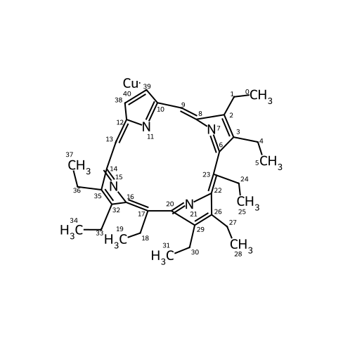 CCC1=C(CC)C2=NC1=CC1=NC(=CC3=NC(=C(CC)C4=NC(=C2CC)C(CC)=C4CC)C(CC)=C3CC)C=C1.[Cu]